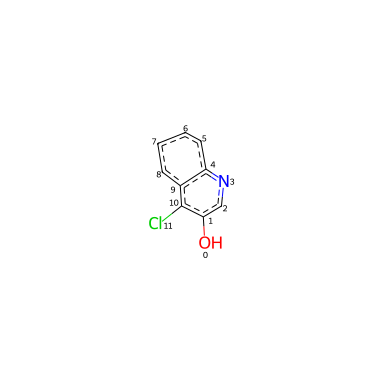 Oc1cnc2ccccc2c1Cl